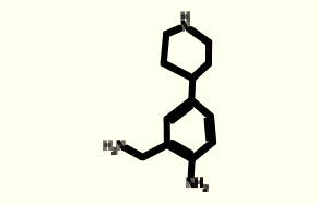 NCc1cc(C2CCNCC2)ccc1N